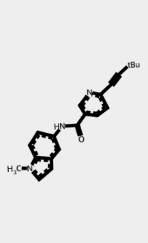 Cn1ccc2cc(NC(=O)c3ccc(C#CC(C)(C)C)nc3)ccc21